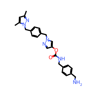 Cc1cc(C)n(Cc2ccc(Cn3cc(OC(=O)NCc4ccc(CN)cc4)cn3)cc2)n1